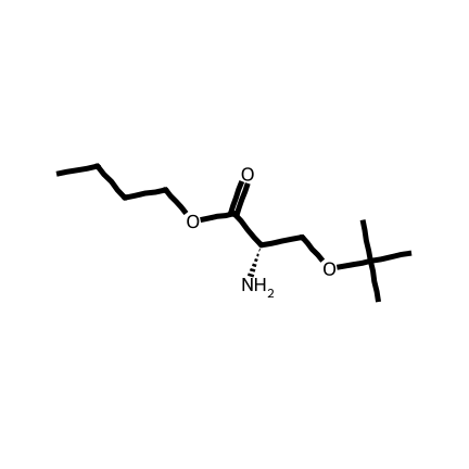 CCCCOC(=O)[C@@H](N)COC(C)(C)C